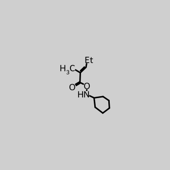 CCC=C(C)C(=O)ONC1CCCCC1